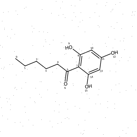 CCCCCC(=O)c1c(O)cc(O)cc1O